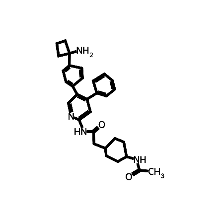 CC(=O)NC1CCC(CC(=O)Nc2cc(-c3ccccc3)c(-c3ccc(C4(N)CCC4)cc3)cn2)CC1